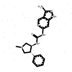 CN1C[C@@H](NC(=O)Nc2cc3[nH]nc(N)c3cn2)[C@H](c2ccccc2)C1